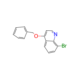 Brc1cccc2c(OCc3ccccc3)ccnc12